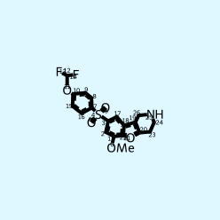 COc1cc(S(=O)(=O)c2ccc(OC(F)F)cc2)cc2c3c(oc12)CCNC3